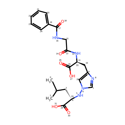 CC(C)C[C@H](Nn1cnc(C[C@H](NC(=O)CNC(=O)c2ccccc2)C(=O)O)c1)C(=O)O